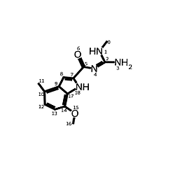 CNC(N)=NC(=O)c1cc2c(C)ccc(OC)c2[nH]1